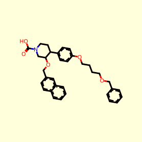 O=C(O)N1CCC(c2ccc(OCCCCOCc3ccccc3)cc2)C(OCc2ccc3ccccc3c2)C1